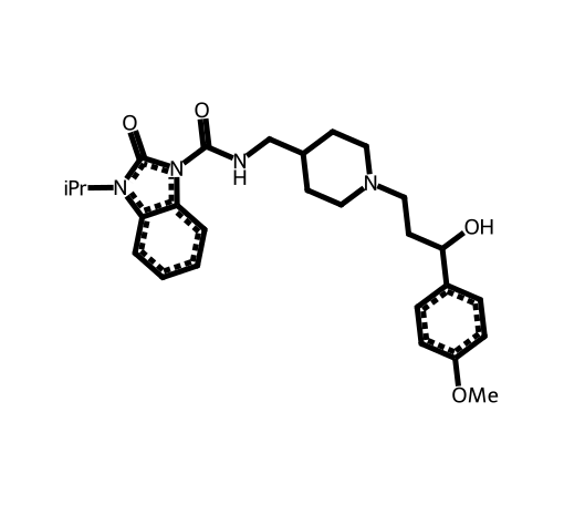 COc1ccc(C(O)CCN2CCC(CNC(=O)n3c(=O)n(C(C)C)c4ccccc43)CC2)cc1